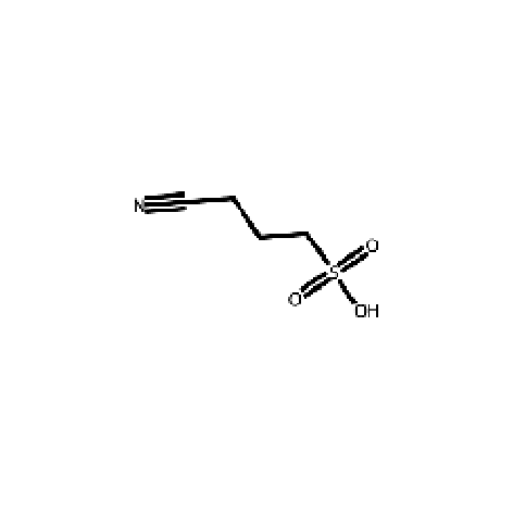 N#CCCCS(=O)(=O)O